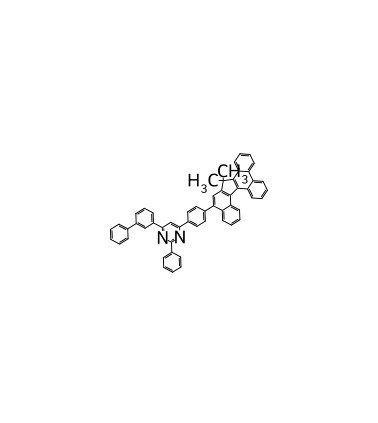 CC1(C)c2cc(-c3ccc(-c4cc(-c5cccc(-c6ccccc6)c5)nc(-c5ccccc5)n4)cc3)c3ccccc3c2-c2c1c1ccccc1c1ccccc21